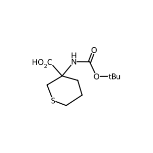 CC(C)(C)OC(=O)NC1(C(=O)O)CCCSC1